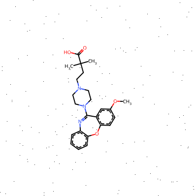 COc1ccc2c(c1)C(N1CCN(CCC(C)(C)C(=O)O)CC1)=Nc1ccccc1O2